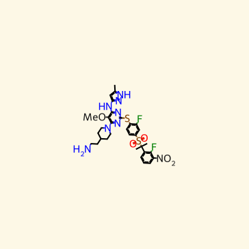 COc1c(Nc2cc(C)[nH]n2)nc(Sc2ccc(S(=O)(=O)C(C)(C)c3cccc([N+](=O)[O-])c3F)cc2F)nc1N1CCC(CCN)CC1